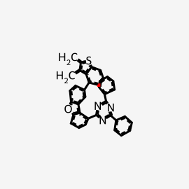 C=c1sc2cccc(-c3ccc4oc5cccc(-c6nc(-c7ccccc7)nc(-c7ccccc7)n6)c5c4c3)c2c1=C